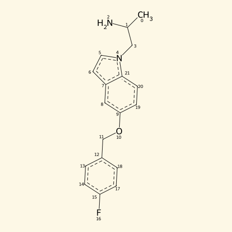 CC(N)Cn1ccc2cc(OCc3ccc(F)cc3)ccc21